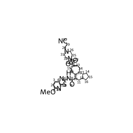 COc1ccc2nc(NC(=O)C(CC3CCCC3)C3C=CC(S(=O)(=O)N4CCN(CCC#N)CC4)=CCC3)sc2n1